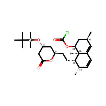 C[C@H]1C=C2C=C[C@H](C)[C@H](CC[C@@H]3C[C@@H](O[Si](C)(C)C(C)(C)C)CC(=O)O3)[C@H]2[C@@H](OC(=O)Cl)C1